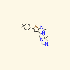 Cc1nc(CN2CCN(C)CC2(C)C)c2cc(C3CCC(C)(C)CC3)sc2n1